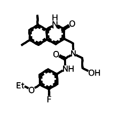 CCOc1ccc(NC(=O)N(CCO)Cc2cc3cc(C)cc(C)c3[nH]c2=O)cc1F